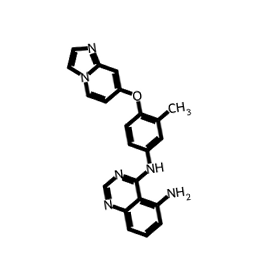 Cc1cc(Nc2ncnc3cccc(N)c23)ccc1Oc1ccn2ccnc2c1